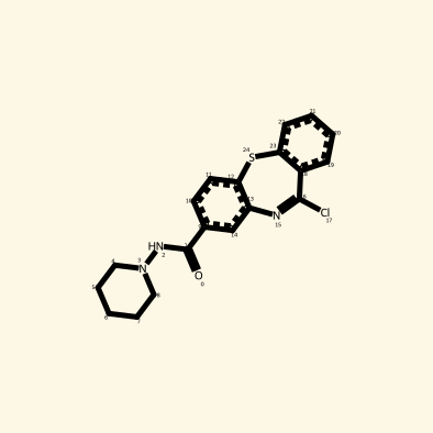 O=C(NN1CCCCC1)c1ccc2c(c1)N=C(Cl)c1ccccc1S2